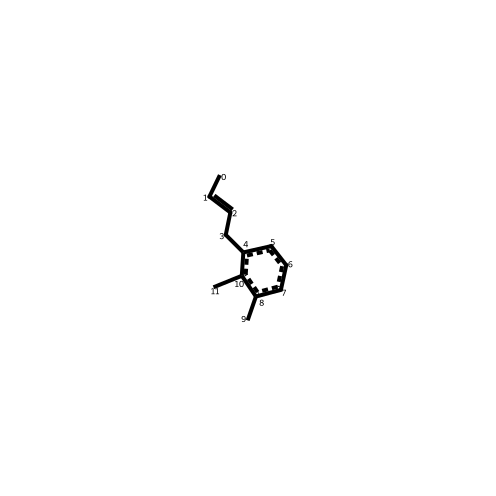 C/C=C/Cc1cccc(C)c1C